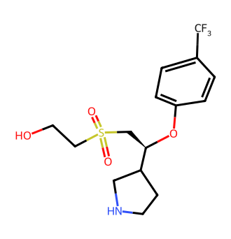 O=S(=O)(CCO)C[C@@H](Oc1ccc(C(F)(F)F)cc1)C1CCNC1